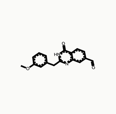 COc1cccc(Cc2nc3cc(C=O)ccc3c(=O)[nH]2)c1